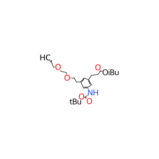 C#CCOCCOCCc1cc(CCC(=O)OCC(C)C)cc(NC(=O)OC(C)(C)C)c1